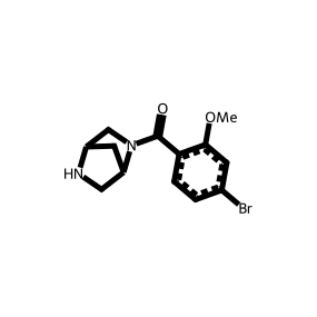 COc1cc(Br)ccc1C(=O)N1CC2CC1CN2